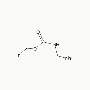 CCCCNC(=O)OCI